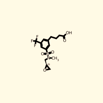 CN(C[C@H]1CO1)S(=O)(=O)c1cc(CCCC(=O)O)cc(C(F)(F)F)c1